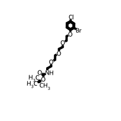 CC(C)(C)OC(=O)NCCOCCOCCOCCOc1ccc(Cl)cc1Br